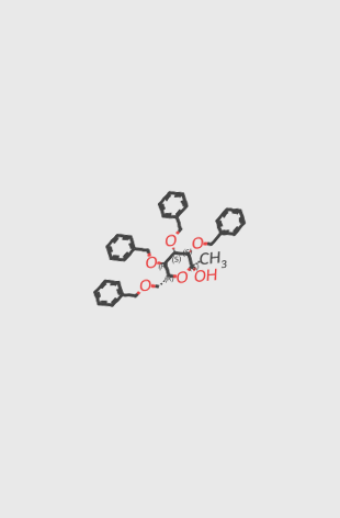 C[C@]1(O)O[C@H](COCc2ccccc2)[C@@H](OCc2ccccc2)[C@H](OCc2ccccc2)[C@@H]1OCc1ccccc1